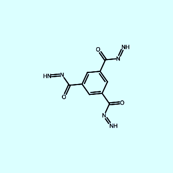 N=NC(=O)c1cc(C(=O)N=N)cc(C(=O)N=N)c1